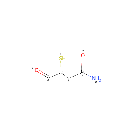 NC(=O)CC(S)C=O